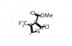 COC(=O)c1c(C(F)(F)F)csc1Cl